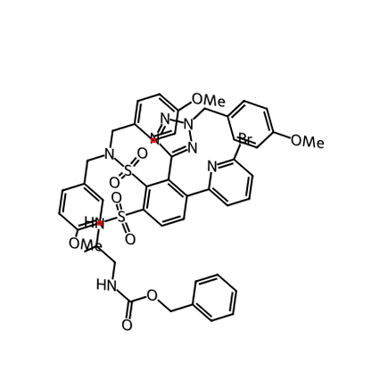 COc1ccc(CN(Cc2ccc(OC)cc2)S(=O)(=O)c2c(S(=O)(=O)NC(C)CNC(=O)OCc3ccccc3)ccc(-c3cccc(Br)n3)c2-c2nnn(Cc3ccc(OC)cc3)n2)cc1